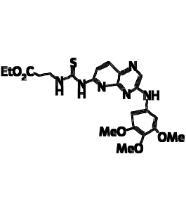 CCOC(=O)CCNC(=S)Nc1ccc2ncc(Nc3cc(OC)c(OC)c(OC)c3)nc2n1